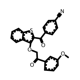 COc1cccc(C(=O)COc2c(C(=O)c3ccc(C#N)cc3)sc3ccccc23)c1